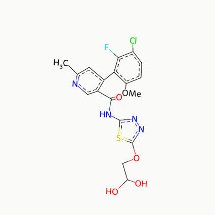 COc1ccc(Cl)c(F)c1-c1cc(C)ncc1C(=O)Nc1nnc(OCC(O)O)s1